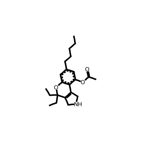 CCCCCc1cc(OC(C)=O)c2c(c1)OC(CC)(CC)C1=C2CNC1